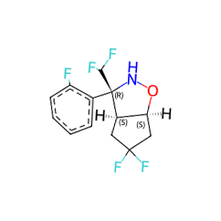 Fc1ccccc1[C@]1(C(F)F)NO[C@H]2CC(F)(F)C[C@H]21